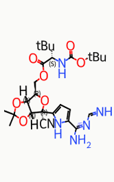 CC(C)(C)OC(=O)N[C@H](C(=O)OC[C@H]1O[C@@](C#N)(c2ccc(/C(N)=N\C=N)[nH]2)[C@@H]2OC(C)(C)O[C@@H]21)C(C)(C)C